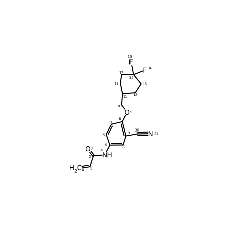 C=CC(=O)Nc1ccc(OCC2CCC(F)(F)CC2)c(C#N)c1